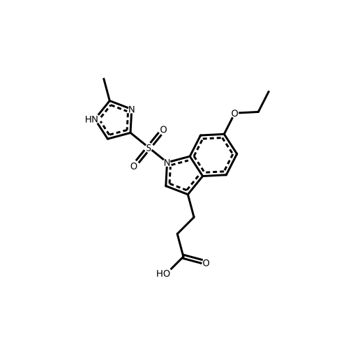 CCOc1ccc2c(CCC(=O)O)cn(S(=O)(=O)c3c[nH]c(C)n3)c2c1